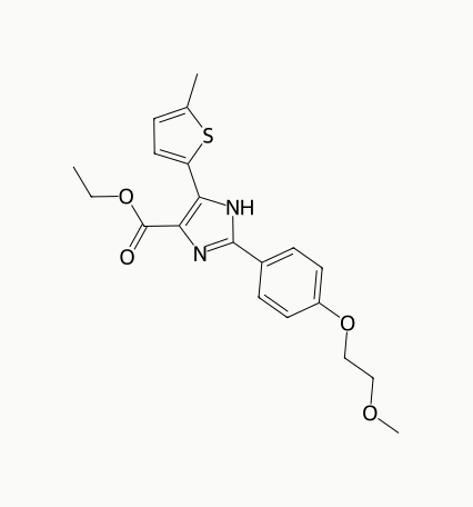 CCOC(=O)c1nc(-c2ccc(OCCOC)cc2)[nH]c1-c1ccc(C)s1